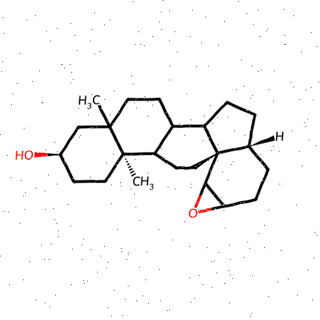 CC12CCC3C4CC[C@@H]5CCC6OC6[C@]45CCC3[C@@]1(C)CC[C@@H](O)C2